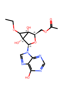 CCOC1[C@@]2(O)[C@@H](COC(C)=O)O[C@@H](n3cnc4c(O)ncnc43)[C@@]12O